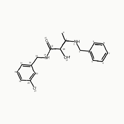 CC(NCc1ccccc1)C(O)C(=O)NCc1cccc(Cl)c1